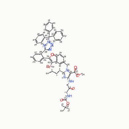 CCCCc1nc(NCC(=O)CNC(=O)OC(C)(C)C)c(C(=O)OC)n1Cc1ccc2oc(-c3ccccc3-c3nnn(C(c4ccccc4)(c4ccccc4)c4ccccc4)n3)c(Br)c2c1